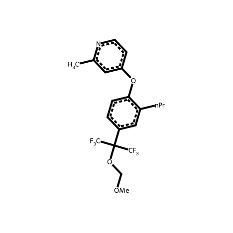 CCCc1cc(C(OCOC)(C(F)(F)F)C(F)(F)F)ccc1Oc1ccnc(C)c1